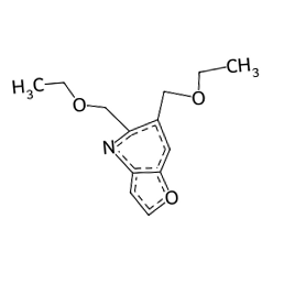 CCOCc1cc2occc2nc1COCC